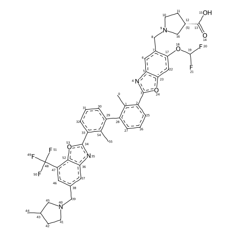 Cc1c(-c2nc3cc(CN4CC[C@H](C(=O)O)C4)c(OC(F)F)cc3o2)cccc1-c1cccc(-c2nc3cc(CN4CCC(C)C4)cc(C(F)(F)F)c3o2)c1C